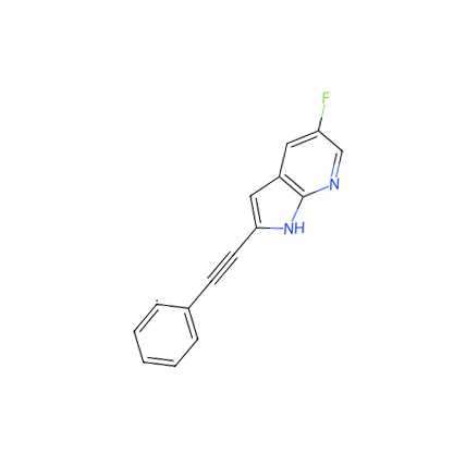 Fc1cnc2[nH]c(C#Cc3[c]cccc3)cc2c1